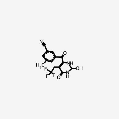 Cc1cc(C#N)cc(C(=O)C2=C(CC(F)(F)F)C(=O)NC(O)N2)c1